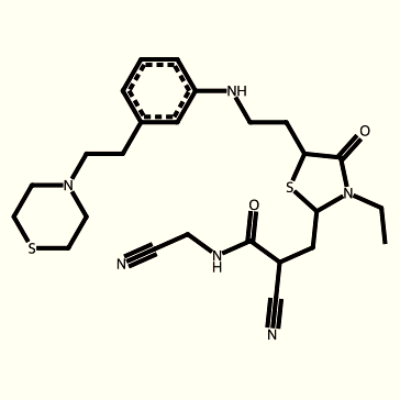 CCN1C(=O)C(CCNc2cccc(CCN3CCSCC3)c2)SC1CC(C#N)C(=O)NCC#N